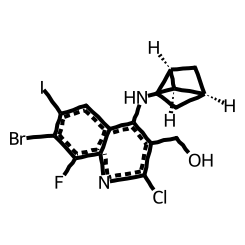 OCc1c(Cl)nc2c(F)c(Br)c(I)cc2c1N[C@@H]1[C@@H]2CC[C@H]1C2